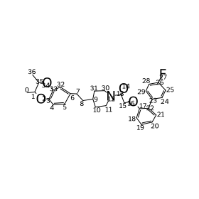 CC1Oc2ccc(CCC3CCN(C(=O)COc4ccccc4-c4ccc(F)cc4)CC3)cc2OC1C